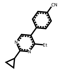 CCc1nc(C2CC2)ncc1-c1ccc(C#N)cc1